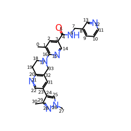 Cc1cc(C(=O)NCc2cccnc2)cnc1N1CCc2ncc(-c3cn(C)nc3C)cc2C1